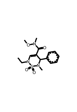 CCN1C=C(C(=O)N(C)OC)C(c2ccccc2)N(C)S1(=O)=O